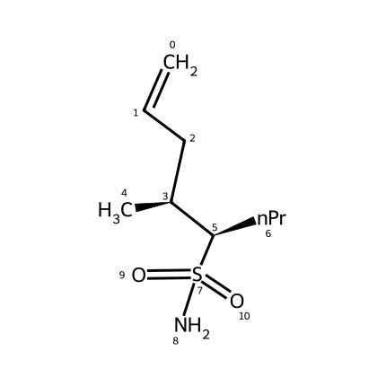 C=CC[C@H](C)[C@@H](CCC)S(N)(=O)=O